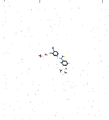 COc1cc(O[Si](C(C)C)(C(C)C)C(C)C)c(F)c(C(Nc2ccc(C#N)c(CNC(=O)OC(C)(C)C)c2)C(N)=S)c1